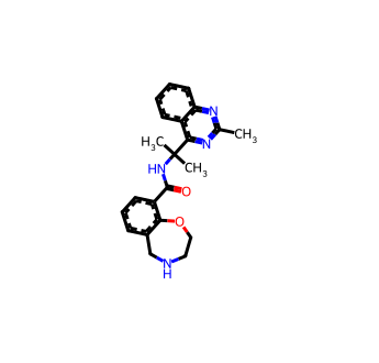 Cc1nc(C(C)(C)NC(=O)c2cccc3c2OCCNC3)c2ccccc2n1